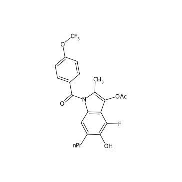 CCCc1cc2c(c(F)c1O)c(OC(C)=O)c(C)n2C(=O)c1ccc(OC(F)(F)F)cc1